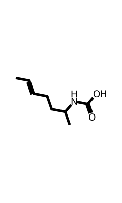 CC=CCCC(C)NC(=O)O